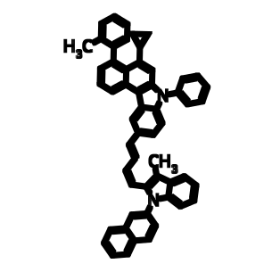 Cc1ccccc1-c1cccc2c1c(C1CC1)cc1c2c2cc(/C=C/C=C\c3c(C)c4ccccc4n3-c3ccc4ccccc4c3)ccc2n1-c1ccccc1